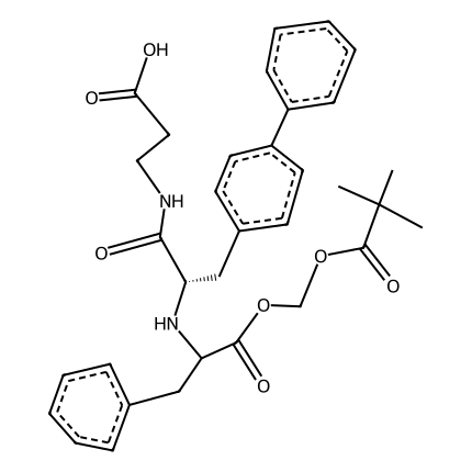 CC(C)(C)C(=O)OCOC(=O)C(Cc1ccccc1)N[C@@H](Cc1ccc(-c2ccccc2)cc1)C(=O)NCCC(=O)O